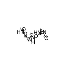 C=CC(=O)N[C@@H]1CCCN(Cc2ccnc(C(=O)Nc3ccc(-c4cc5c(C6=CCOCC6)ncnc5[nH]4)cc3)c2)C1